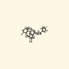 Cc1cccc(-c2c(C(C)(C)C)nc(NCCc3cccnc3)c3n[nH]c(=O)n23)c1